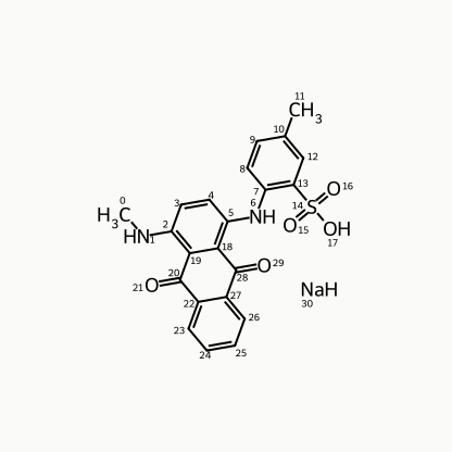 CNc1ccc(Nc2ccc(C)cc2S(=O)(=O)O)c2c1C(=O)c1ccccc1C2=O.[NaH]